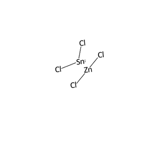 [Cl][Sn][Cl].[Cl][Zn][Cl]